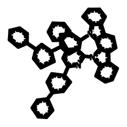 c1ccc(-c2ccc(-c3cc(-c4ccccc4)nc(-n4c5ccccc5c5ccc6c7ccccc7n(-c7ccc(-c8cccc(-c9ccccc9)c8)cc7)c6c54)n3)cc2)cc1